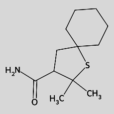 CC1(C)SC2(CCCCC2)CC1C(N)=O